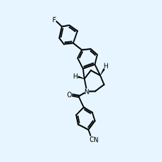 N#Cc1ccc(C(=O)N2CC[C@@H]3C[C@H]2c2cc(-c4ccc(F)cc4)ccc23)cc1